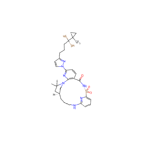 CC1(C)C[C@@H]2CCCNc3cccc(n3)S(=O)(=O)NC(=O)c3ccc(-n4ccc(CCCC(S)(S)C5(C(F)(F)F)CC5)n4)nc3N1C2